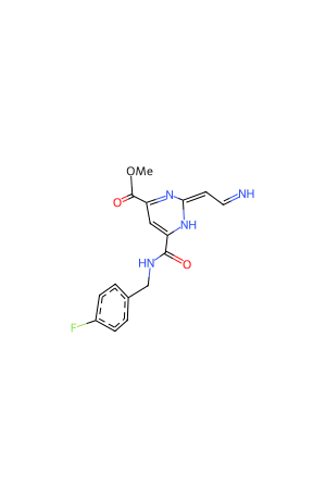 COC(=O)C1=N/C(=C/C=N)NC(C(=O)NCc2ccc(F)cc2)=C1